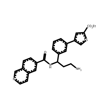 CCOC(=O)c1cc(-c2cccc(C(CCN)NC(=O)c3ccc4cnccc4c3)c2)cs1